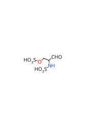 O=CC(COS(=O)(=O)O)NS(=O)(=O)O